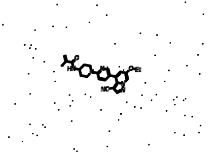 C=C(C)C(=O)NC1CCN(c2ccc(-c3cc(OCC)cn4ncc(C#N)c34)cn2)CC1